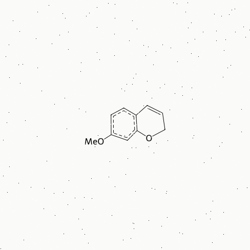 COc1ccc2c(c1)OCC=C2